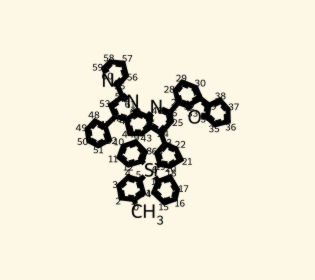 Cc1cccc([Si](c2ccccc2)(c2ccccc2)c2cccc(-c3cc(-c4cccc5c4oc4ccccc45)nc4c3ccc3c(-c5ccccc5)cc(-c5ccccn5)nc34)c2)c1